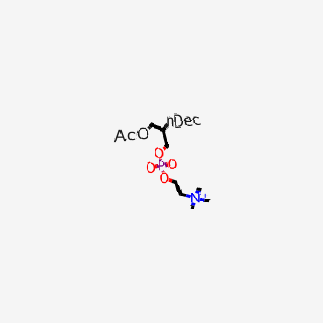 CCCCCCCCCCC(COC(C)=O)COP(=O)([O-])OCC[N+](C)(C)C